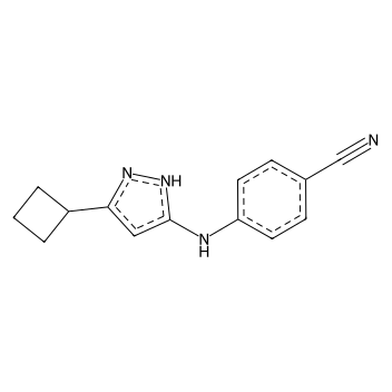 N#Cc1ccc(Nc2cc(C3CCC3)n[nH]2)cc1